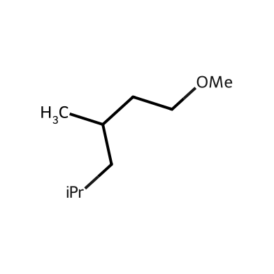 [CH2]OCCC(C)CC(C)C